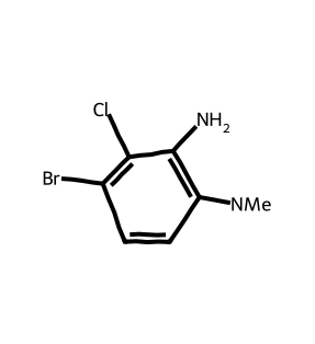 CNc1ccc(Br)c(Cl)c1N